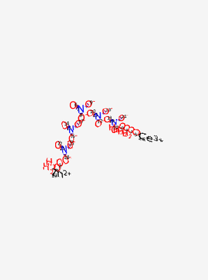 O.O.O.O.O.O.O=[N+]([O-])[O-].O=[N+]([O-])[O-].O=[N+]([O-])[O-].O=[N+]([O-])[O-].O=[N+]([O-])[O-].[Ce+3].[Zn+2]